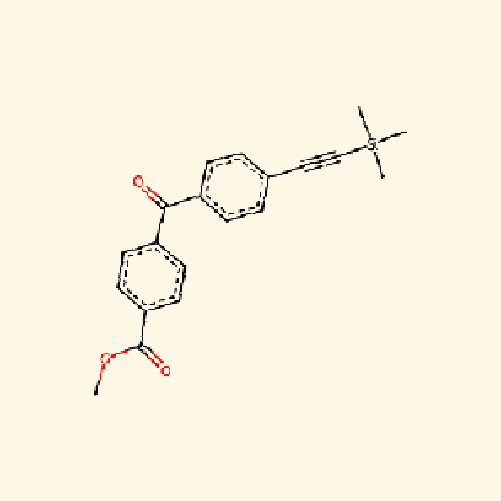 COC(=O)c1ccc(C(=O)c2ccc(C#C[Si](C)(C)C)cc2)cc1